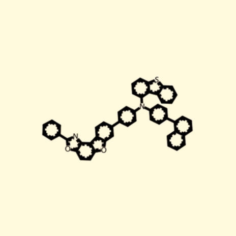 c1ccc(-c2nc3c(ccc4oc5cc(-c6ccc(N(c7ccc(-c8cccc9ccccc89)cc7)c7cccc8sc9ccccc9c78)cc6)ccc5c43)o2)cc1